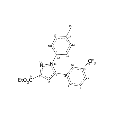 CCOC(=O)c1cc(-c2cccc(C(F)(F)F)c2)n(-c2ccc(C)cc2)n1